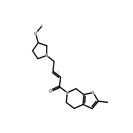 Cc1cc2c(s1)CN(C(=O)/C=C/CN1CCC(OI)C1)CC2